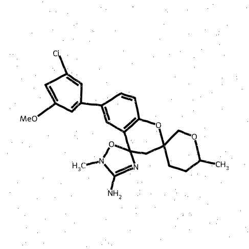 COc1cc(Cl)cc(-c2ccc3c(c2)C2(CC4(CCC(C)OC4)O3)N=C(N)N(C)O2)c1